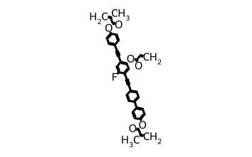 C=CC(=O)Oc1cc(C#Cc2ccc(-c3ccc(OC(=O)C(=C)C)cc3)cc2)c(F)cc1C#Cc1ccc(OC(=O)C(=C)C)cc1